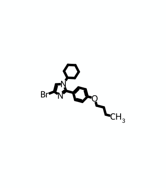 CCCCOc1ccc(-c2nc(Br)cn2C2CCCCC2)cc1